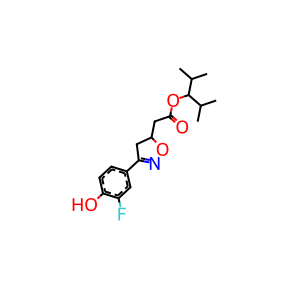 CC(C)C(OC(=O)CC1CC(c2ccc(O)c(F)c2)=NO1)C(C)C